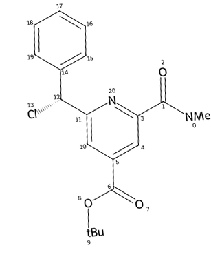 CNC(=O)c1cc(C(=O)OC(C)(C)C)cc([C@H](Cl)c2ccccc2)n1